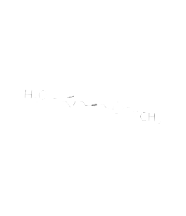 CCCCCc1ccc(C=CC#CC=CC2CCC(CCCC)CC2)cc1